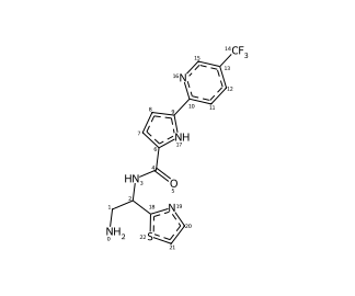 NCC(NC(=O)c1ccc(-c2ccc(C(F)(F)F)cn2)[nH]1)c1nccs1